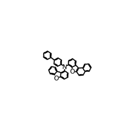 c1ccc(-c2ccc(N(c3cccc4c3oc3ccc5ccccc5c34)c3cccc4oc5ccccc5c34)cc2)cc1